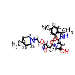 CC1CCN(CCOc2cc([C@H](C(=O)N3C[C@H](O)C[C@H]3C(=O)N[C@@H](C)c3ccc(C#N)cc3)C(C)C)on2)CC1